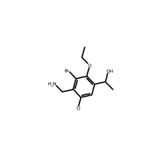 CCOc1c(C(C)O)cc(Cl)c(CN)c1Br